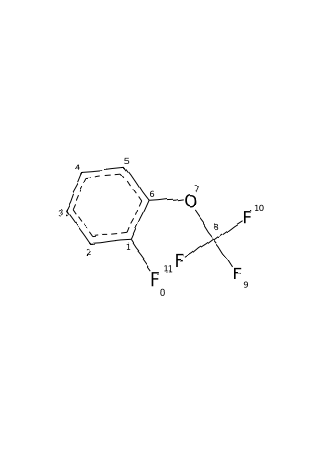 Fc1c[c]ccc1OC(F)(F)F